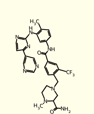 Cc1ccc(NC(=O)c2ccc(CN3CCN(C)C(C(N)=O)C3)c(C(F)(F)F)c2)cc1Nc1nccc(-c2cncnc2)n1